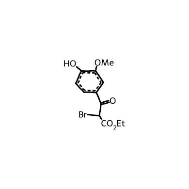 CCOC(=O)C(Br)C(=O)c1ccc(O)c(OC)c1